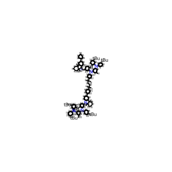 Cc1cc2c3c(c1)N(c1cccc(C(C)(C)C)c1)c1cc(C(C)(C)C)ccc1B3c1ccc(/C=C3\c4ccc(-c5ccccc5)cc4C4(C)CCCCC34C)cc1N2c1ccc(C(C)(C)CCC(C)(C)c2ccc(-c3ccc4c(c3)C3(C)CCCCC3(C)N4c3ccc4c(c3)N(c3ccc(C(C)(C)C)cc3)c3cc(C)cc5c3B4c3ccc(C(C)(C)C)cc3N5c3cccc(C(C)(C)C)c3)cc2)cc1